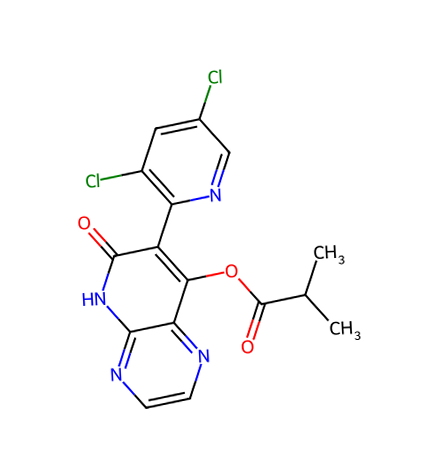 CC(C)C(=O)Oc1c(-c2ncc(Cl)cc2Cl)c(=O)[nH]c2nccnc12